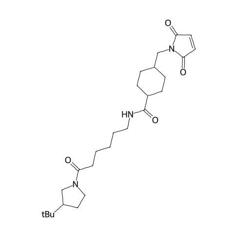 CC(C)(C)C1CCN(C(=O)CCCCCNC(=O)C2CCC(CN3C(=O)C=CC3=O)CC2)C1